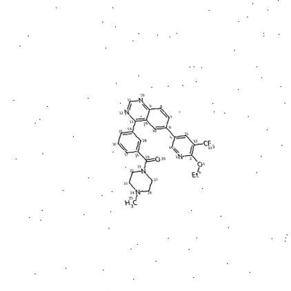 CCOc1ncc(-c2ccc3ncnc(-c4cccc(C(=O)N5CCN(C)CC5)c4)c3c2)cc1C(F)(F)F